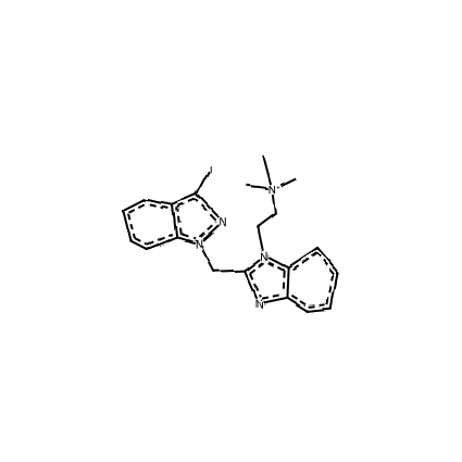 C[N+](C)(C)CCn1c(Cn2nc(I)c3ccccc32)nc2ccccc21